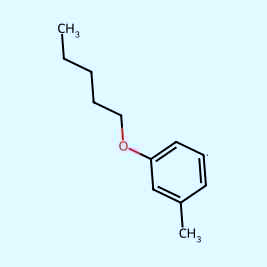 CCCCCOc1c[c]cc(C)c1